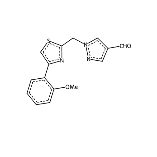 COc1ccccc1-c1csc(Cn2cc(C=O)cn2)n1